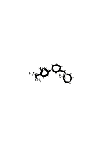 C\C=C(/C=C\C(=C/N)N1CCC[C@@](O)(CN2CCOCC2)C1)C(C)C